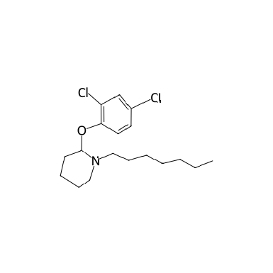 CCCCCCCN1CCCCC1Oc1ccc(Cl)cc1Cl